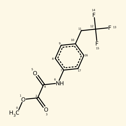 COC(=O)C(=O)Nc1ccc(CC(F)(F)F)cc1